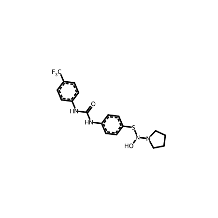 O=C(Nc1ccc(SN(O)N2CCCC2)cc1)Nc1ccc(C(F)(F)F)cc1